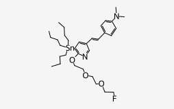 CCC[CH2][Sn]([CH2]CCC)([CH2]CCC)[c]1cc(C=Cc2ccc(N(C)C)cc2)cnc1OCCOCCOCCF